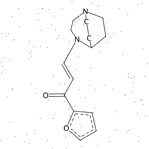 O=C(C=CN1CCN2CCC1CC2)c1ccco1